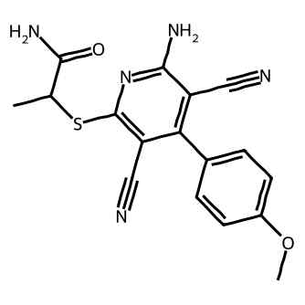 COc1ccc(-c2c(C#N)c(N)nc(SC(C)C(N)=O)c2C#N)cc1